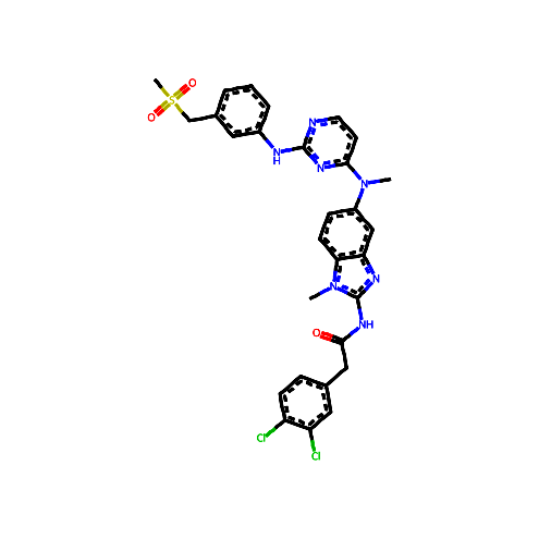 CN(c1ccc2c(c1)nc(NC(=O)Cc1ccc(Cl)c(Cl)c1)n2C)c1ccnc(Nc2cccc(CS(C)(=O)=O)c2)n1